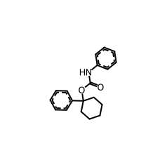 O=C(Nc1ccccc1)OC1(c2ccccc2)CCCCC1